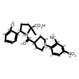 C[C@@]1(C(=O)O)CC[C@H](c2ccccc2Cl)N1C(=O)C1CCN(c2ccc([N+](=O)[O-])cc2C#N)CC1